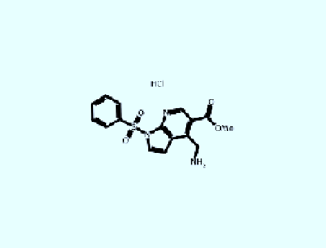 COC(=O)c1cnc2c(ccn2S(=O)(=O)c2ccccc2)c1CN.Cl